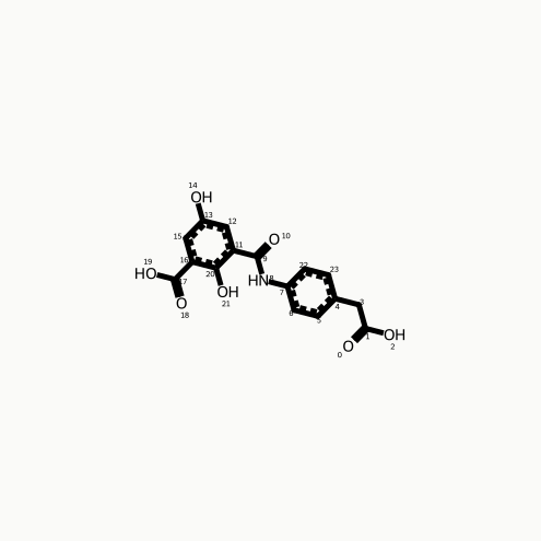 O=C(O)Cc1ccc(NC(=O)c2cc(O)cc(C(=O)O)c2O)cc1